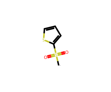 [CH2]S(=O)(=O)c1cccs1